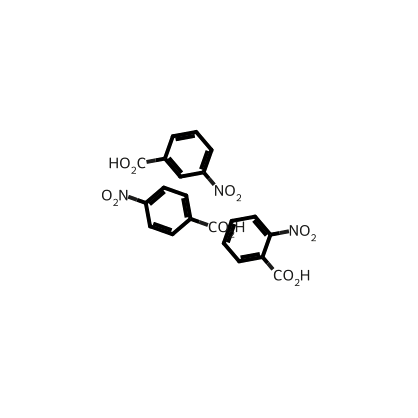 O=C(O)c1ccc([N+](=O)[O-])cc1.O=C(O)c1cccc([N+](=O)[O-])c1.O=C(O)c1ccccc1[N+](=O)[O-]